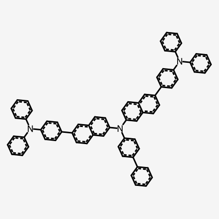 c1ccc(-c2ccc(N(c3ccc4cc(-c5ccc(N(c6ccccc6)c6ccccc6)cc5)ccc4c3)c3ccc4cc(-c5ccc(N(c6ccccc6)c6ccccc6)cc5)ccc4c3)cc2)cc1